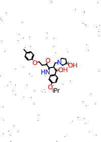 Cc1ccc(OCCC(=O)C(=N)C(CN2CC[C@H](O)C2)[C@H](O)c2ccc(OC(C)C)cc2)cc1